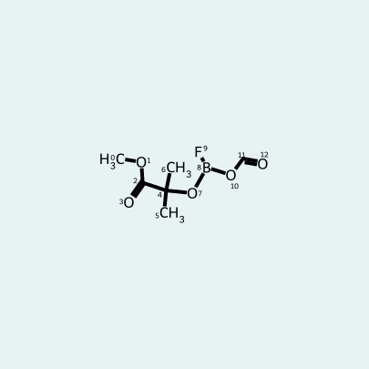 COC(=O)C(C)(C)OB(F)OC=O